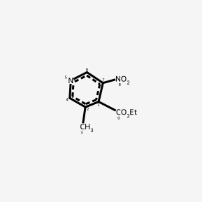 CCOC(=O)c1c(C)cncc1[N+](=O)[O-]